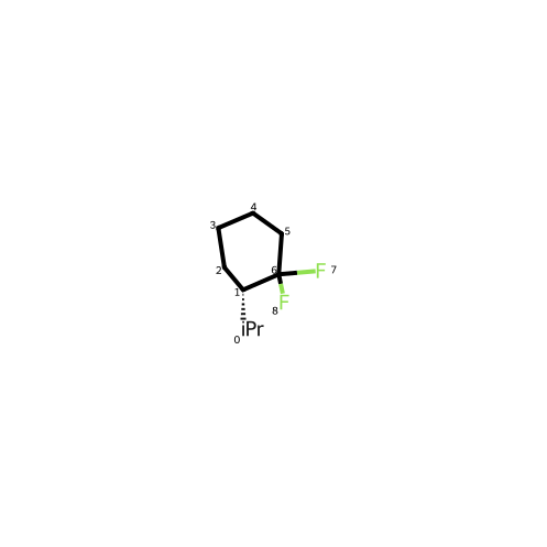 CC(C)[C@@H]1CCCCC1(F)F